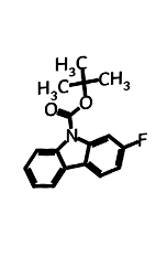 CC(C)(C)OC(=O)n1c2ccccc2c2ccc(F)cc21